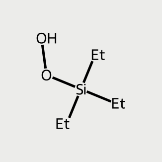 CC[Si](CC)(CC)OO